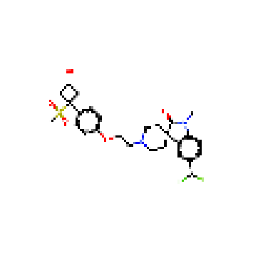 CN1C(=O)C2(CCN(CCOc3ccc(C4(S(C)(=O)=O)CC(O)C4)cc3)CC2)c2cc(C(F)F)ccc21